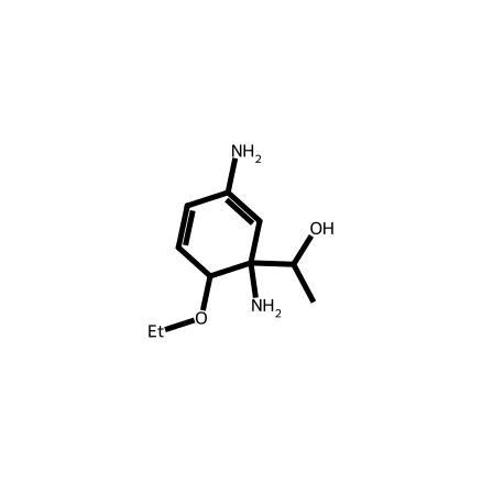 CCOC1C=CC(N)=CC1(N)C(C)O